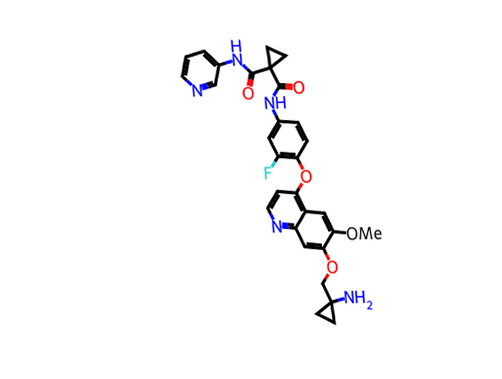 COc1cc2c(Oc3ccc(NC(=O)C4(C(=O)Nc5cccnc5)CC4)cc3F)ccnc2cc1OCC1(N)CC1